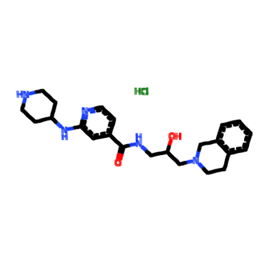 Cl.O=C(NCC(O)CN1CCc2ccccc2C1)c1ccnc(NC2CCNCC2)c1